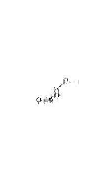 O=C(Cn1cc(Nc2ncnc3cc(OCCCN4CCC[C@@H]4CO)c(F)cc23)cn1)Nc1cccc(F)c1F